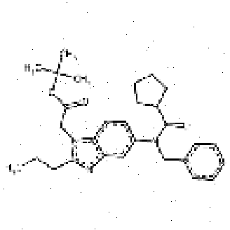 CCCc1nc2cc(N(Cc3ccccc3)C(=O)C3CCCC3)ccc2n1CC(=O)OC(C)(C)C